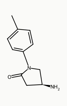 Cc1ccc(N2C[C@@H](N)CC2=O)cc1